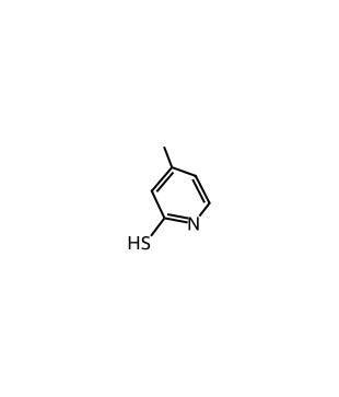 Cc1ccnc(S)c1